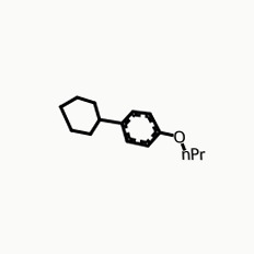 CCCOc1ccc(C2CCCCC2)cc1